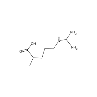 CC(CCCNC(N)N)C(=O)O